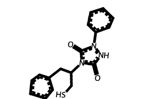 O=c1[nH]n(-c2ccccc2)c(=O)n1C(CS)Cc1ccccc1